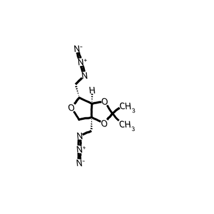 CC1(C)O[C@@H]2[C@@H](CN=[N+]=[N-])OC[C@]2(CN=[N+]=[N-])O1